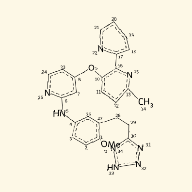 COc1ccc(Nc2cc(Oc3ccc(C)nc3-c3ccccn3)ccn2)cc1CCc1nn[nH]n1